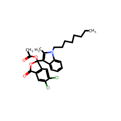 CCCCCCCCn1c(C)c(C2(OC(C)=O)OC(=O)c3cc(Cl)c(Cl)cc32)c2ccccc21